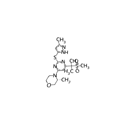 Cc1cc(Sc2nc(N3CCOC[C@H]3C)cc(C(C)(C)S(C)(=O)=O)n2)[nH]n1